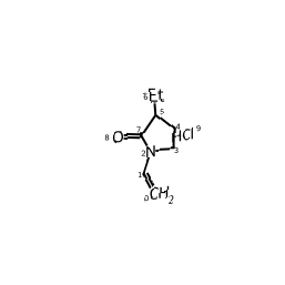 C=CN1CCC(CC)C1=O.Cl